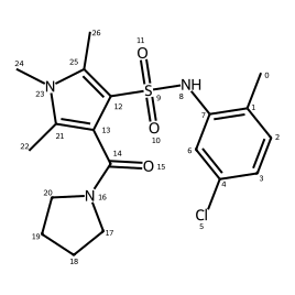 Cc1ccc(Cl)cc1NS(=O)(=O)c1c(C(=O)N2CCCC2)c(C)n(C)c1C